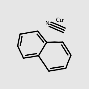 C#N.[Cu].c1ccc2ccccc2c1